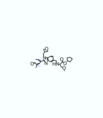 C/C=C(\C=C(\C)C=O)c1nc2cc(CNC(COC)C(=O)OC3CCCC3)ccc2n1CC1COC1